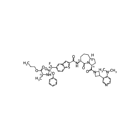 CCCOC(=O)[C@H](C)NP(=O)(Oc1ccccc1)[C@@H](F)c1ccc2sc(C(=O)N[C@H]3CCC[C@H]4CC[C@@H](C(=O)N5CC(c6cnccc6N(C)C)C5)N4C3=O)cc2c1